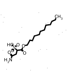 CCCCCCCCCCCCOC(=O)C(CC(N)=O)S(=O)(=O)O